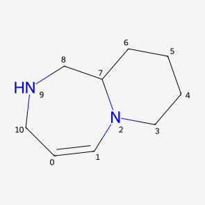 C1=CN2CCCCC2CNC1